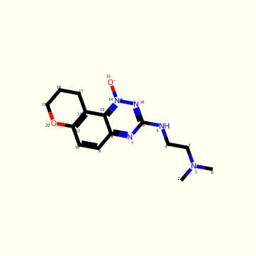 CN(C)CCNc1nc2ccc3c(c2[n+]([O-])n1)CCCO3